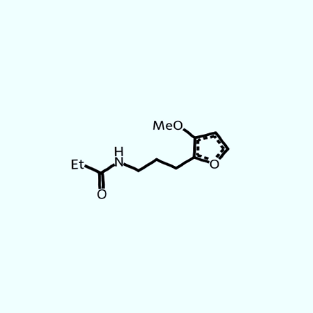 CCC(=O)NCCCc1occc1OC